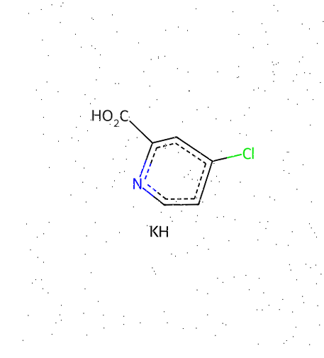 O=C(O)c1cc(Cl)ccn1.[KH]